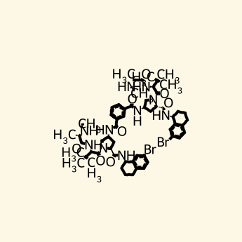 CN[C@@H](C)C(=O)N[C@H](C(=O)N1C[C@@H](NC(=O)c2cccc(C(=O)N[C@H]3C[C@@H](C(=O)N[C@@H]4CCCc5ccc(Br)cc54)N(C(=O)[C@@H](NC(=O)[C@H](C)NC)C(C)(C)C)C3)c2)C[C@H]1C(=O)N[C@@H]1CCCc2ccc(Br)cc21)C(C)(C)C